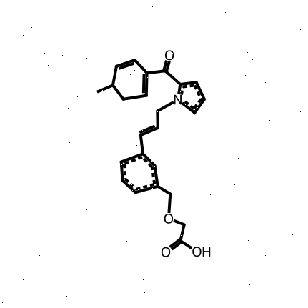 CC1C=CC(C(=O)c2cccn2C/C=C/c2cccc(COCC(=O)O)c2)=CC1